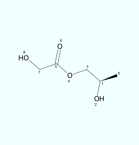 C[C@@H](O)COC(=O)CO